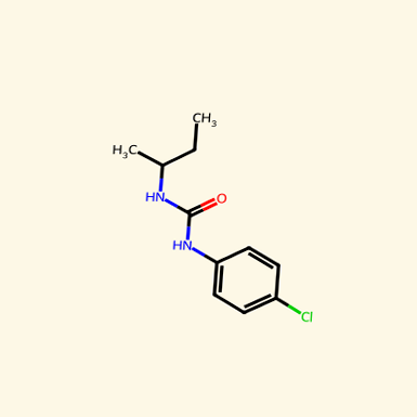 CCC(C)NC(=O)Nc1ccc(Cl)cc1